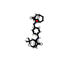 CC1(C)OC2CCC1/C(=C\c1ccc(/C=C3/C(=O)CC4CCC3C(C)(C)O4)cc1)C(=O)C2